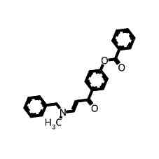 CN(C=CC(=O)c1ccc(OC(=O)c2ccccc2)cc1)Cc1ccccc1